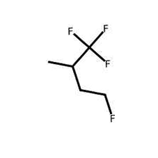 CC(CCF)C(F)(F)F